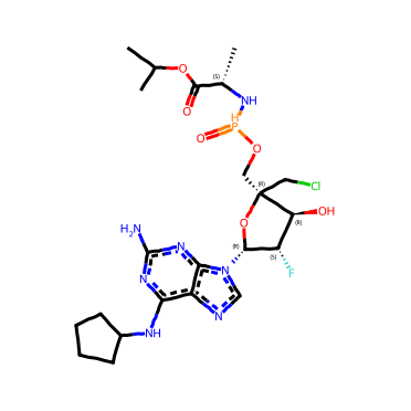 CC(C)OC(=O)[C@H](C)N[PH](=O)OC[C@@]1(CCl)O[C@@H](n2cnc3c(NC4CCCC4)nc(N)nc32)[C@@H](F)[C@@H]1O